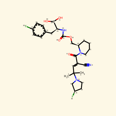 CC(C)(C=C(C#N)C(=O)N1CCCC[C@@H]1COC(=O)N[C@@H](Cc1ccc(F)cc1)B(O)O)N1CC[C@@H](F)C1